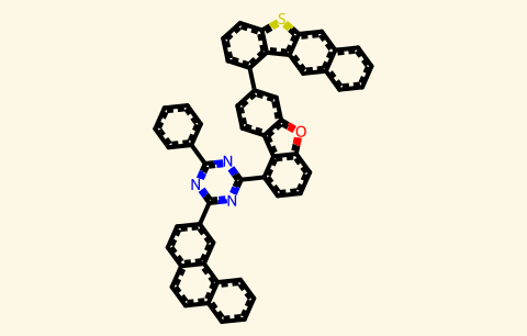 c1ccc(-c2nc(-c3ccc4ccc5ccccc5c4c3)nc(-c3cccc4oc5cc(-c6cccc7sc8cc9ccccc9cc8c67)ccc5c34)n2)cc1